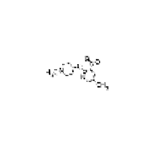 Cc1cnc(OC2CCN(C)CC2)c([N+](=O)[O-])c1